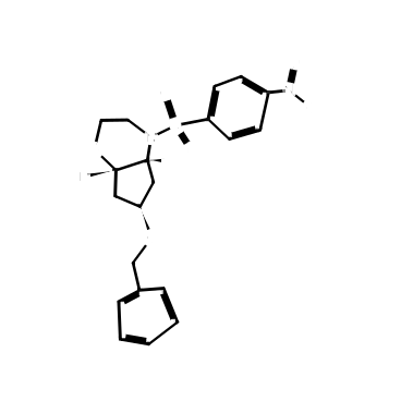 O=[N+]([O-])c1ccc(S(=O)(=O)N2CCO[C@H]3C[C@H](OCc4ccccc4)C[C@H]32)cc1